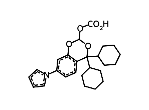 O=C(O)OC1Oc2cc(-n3cccc3)ccc2C(C2CCCCC2)(C2CCCCC2)O1